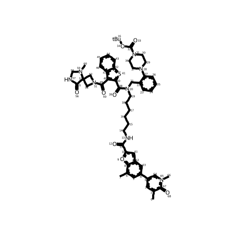 Cc1cc(-c2cc(C)c3oc(C(=O)NCCCCCCN(Cc4ccccc4N4CCN(C(=O)OC(C)(C)C)CC4)C(=O)c4sc5ccccc5c4C(=O)N4CC5(C4)C(=O)NCN5C)cc3c2)cn(C)c1=O